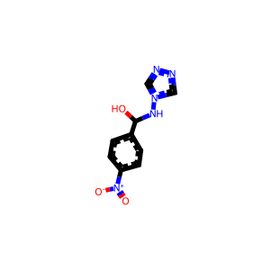 O=[N+]([O-])c1ccc(C(O)Nn2cnnc2)cc1